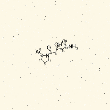 CC(=O)[C@@H]1CCCN1C(=O)C/C(O)=C/C(N)=O